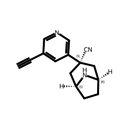 C#Cc1cncc([C@@]2(C#N)C[C@H]3CC[C@@H](C2)N3)c1